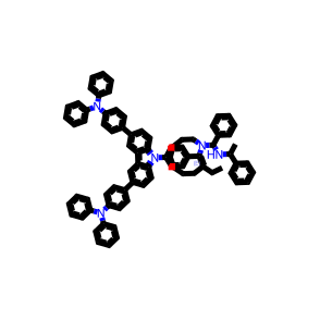 CC/C1=C(/c2ccc(-n3c4ccc(-c5ccc(N(c6ccccc6)c6ccccc6)cc5)cc4c4cc(-c5ccc(N(c6ccccc6)c6ccccc6)cc5)ccc43)cc2)N(C(NC(C)c2ccccc2)c2ccccc2)CCCCCCC1